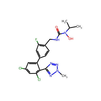 CC(C)N(O)C(=O)NCc1ccc(-c2cc(Cl)cc(Cl)c2-c2nnn(C)n2)cc1F